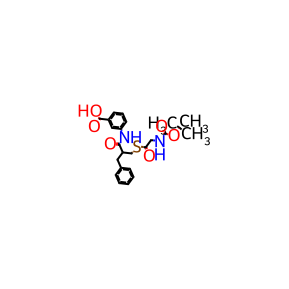 CC(C)(C)OC(=O)NCC(=O)SCC(Cc1ccccc1)C(=O)Nc1cccc(C(=O)O)c1